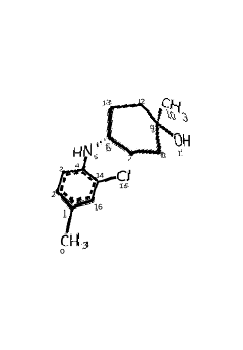 Cc1ccc(N[C@H]2CC[C@@](C)(O)CC2)c(Cl)c1